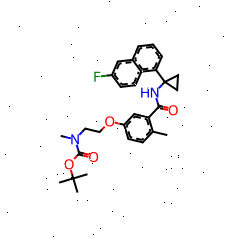 Cc1ccc(OCCN(C)C(=O)OC(C)(C)C)cc1C(=O)NC1(c2cccc3cc(F)ccc23)CC1